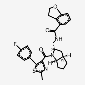 Cc1nc(C(=O)N2[C@H](CNC(=O)c3cccc4c3CCO4)C[C@@H]3CCC[C@@H]32)c(-c2ccc(F)cc2)s1